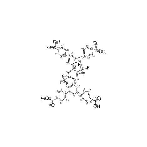 O=C(O)c1ccc(-c2cc(-c3ccc(C(=O)O)cc3)cc(-c3cc(C(F)(F)F)c(-c4cc(-c5ccc(C(=O)O)cc5)cc(-c5ccc(C(=O)O)cc5)c4)cc3C(F)(F)F)c2)cc1